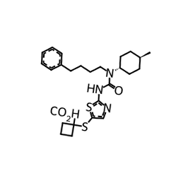 C[C@H]1CC[C@H](N(CCCCc2ccccc2)C(=O)Nc2ncc(SC3(C(=O)O)CCC3)s2)CC1